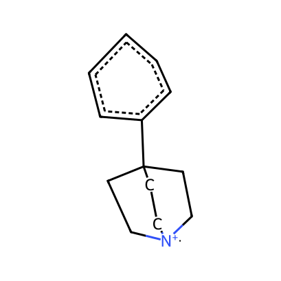 c1ccc(C23CC[N+](CC2)CC3)cc1